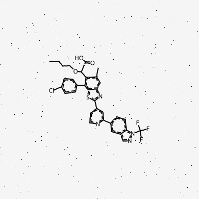 CCCCOC(C(=O)O)c1c(C)cc2nc(-c3ccnc(-c4ccc5c(cnn5C(F)(F)F)c4)c3)sc2c1-c1ccc(Cl)cc1